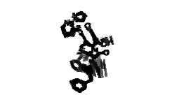 O=C(Cc1ccccc1)N[C@@H]1C(=O)N2C(C(=O)O)=C(Sc3cccnc3-n3cccn3)CS[C@@H]12